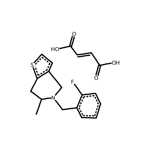 CC1Cc2sccc2CN1Cc1ccccc1F.O=C(O)C=CC(=O)O